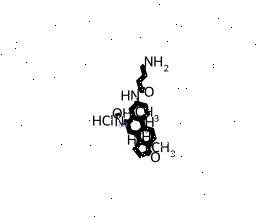 C[C@]12CCC(NC(=O)CCCN)CC1/C(=N\O)C[C@@H]1[C@H]2CC[C@]2(C)C(=O)CC[C@@H]12.Cl